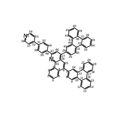 c1ccc2c(c1)c(-c1ccc3c4ccccc4c4ccccc4c3c1)cc1c(-c3ccc4c5ccccc5c5ccccc5c4c3)cc(-c3ccc(-c4ccncc4)cc3)nc12